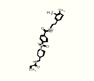 C=CC(=O)NCC1CCN(S(=O)(=O)c2ccc(C(=O)NCCc3ccc(C)c(C)c3)cc2)CC1